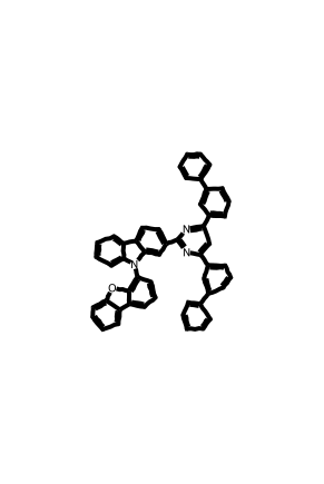 c1ccc(-c2cccc(-c3cc(-c4cccc(-c5ccccc5)c4)nc(-c4ccc5c6ccccc6n(-c6cccc7c6oc6ccccc67)c5c4)n3)c2)cc1